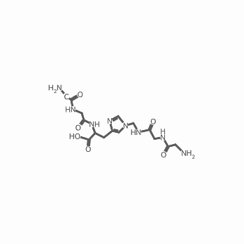 NCC(=O)NCC(=O)NCn1cnc(CC(NC(=O)CNC(=O)CN)C(=O)O)c1